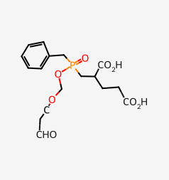 O=CCCOCOP(=O)(Cc1ccccc1)CC(CCC(=O)O)C(=O)O